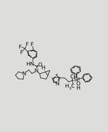 CC(C)(CCc1ncc([C@]23CC[C@@H](N(CCN4CCCC4)C(=O)Nc4ccc(F)c(C(F)(F)F)c4)[C@H]2C3)s1)[Si](O)(c1ccccc1)c1ccccc1